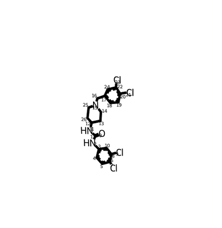 O=C(Nc1ccc(Cl)c(Cl)c1)NC1CCN(Cc2ccc(Cl)c(Cl)c2)CC1